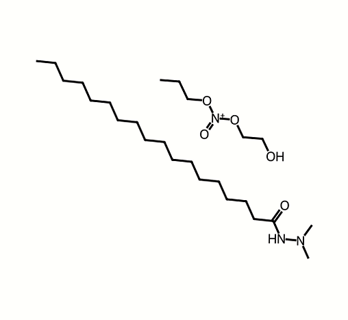 CCCCCCCCCCCCCCCCCC(=O)NN(C)C.CCCO[N+](=O)OCCO